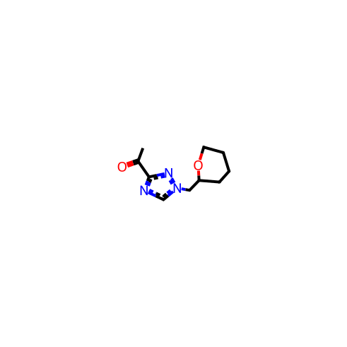 CC(=O)c1ncn(CC2CCCCO2)n1